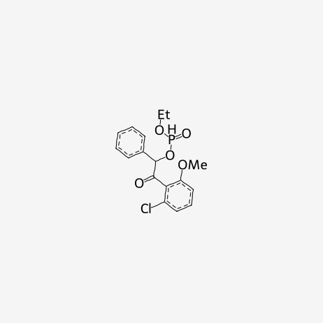 CCO[PH](=O)OC(C(=O)c1c(Cl)cccc1OC)c1ccccc1